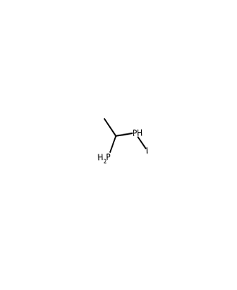 CC(P)PI